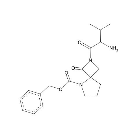 CC(C)C(N)C(=O)N1CC2(CCCN2C(=O)OCc2ccccc2)C1=O